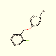 CC(C)c1ccc(OCc2ccccc2F)cc1